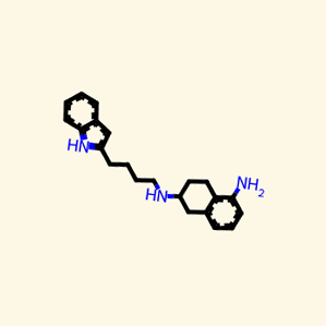 Nc1cccc2c1CCC(NCCCCc1cc3ccccc3[nH]1)C2